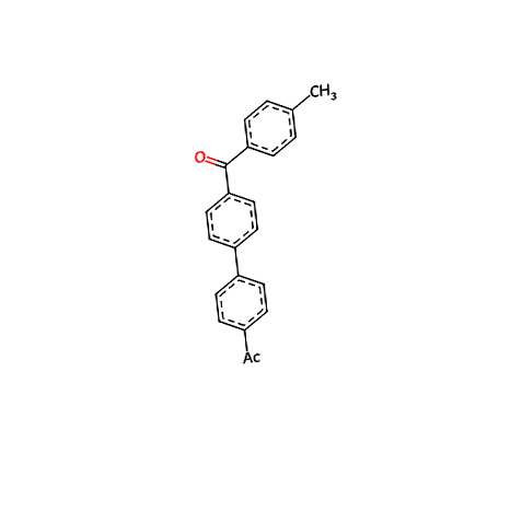 CC(=O)c1ccc(-c2ccc(C(=O)c3ccc(C)cc3)cc2)cc1